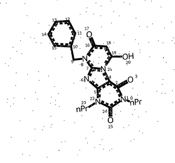 CCCn1c(=O)c2c(nc3n(Cc4ccccc4)c(=O)cc(O)n23)n(CCC)c1=O